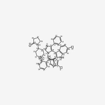 C[C@@H](c1ccc(Cl)cc1)n1cnc(-c2ccccc2)c1-c1c(C(=O)Nc2cccnc2N2CCC(N3CCCC3=O)CC2)[nH]c2cc(Cl)ccc12